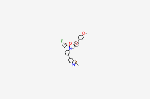 COc1ccc(C23CCC(CN(C(=O)C45CC(F)C(C4)C5)c4cccc(-c5ccc6nc(C)sc6c5)c4)(CC2)CO3)cc1